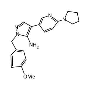 COc1ccc(Cn2ncc(-c3ccc(N4CCCC4)nc3)c2N)cc1